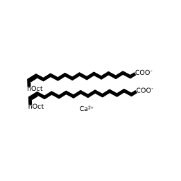 CCCCCCCC/C=C\CCCCCCCCCCCCCC(=O)[O-].CCCCCCCC/C=C\CCCCCCCCCCCCCC(=O)[O-].[Ca+2]